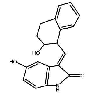 O=C1Nc2ccc(O)cc2C1=CC1c2ccccc2CCC1O